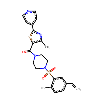 C=Cc1ccc(C#N)c(S(=O)(=O)N2CCN(C(=O)c3sc(-c4ccncc4)nc3C)CC2)c1